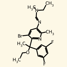 CCOC(C)(c1cc(F)cc(F)c1)c1nc(C)c(N=CN(C)CC)cc1Br